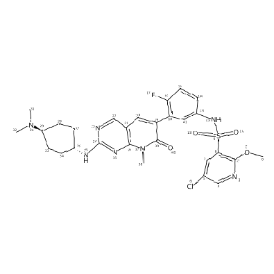 COc1ncc(Cl)cc1S(=O)(=O)Nc1ccc(F)c(-c2cc3cnc(N[C@H]4CC[C@H](N(C)C)CC4)nc3n(C)c2=O)c1